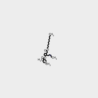 CC/C=C\CC1C(CC(=O)OCCCCCCCCCCC)CCC1OC(=O)C1(C)CCN(C)CC1